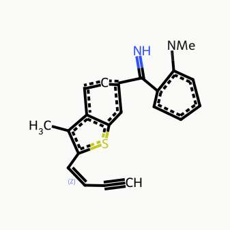 C#C/C=C\c1sc2cc(C(=N)c3ccccc3NC)ccc2c1C